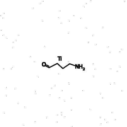 NCCCC=O.[Ti]